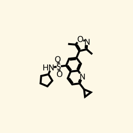 Cc1noc(C)c1-c1cc(S(=O)(=O)NC2CCCC2)c2ccc(C3CC3)nc2c1